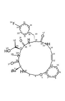 CCC(C)[C@@H]1NCCOc2ccccc2/C=C\CNC(=O)[C@@H](Cc2ccc(F)cc2)NC(=O)[C@H](C(C)O)N(C)C1=O